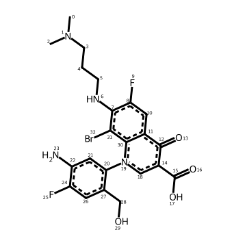 CN(C)CCCNc1c(F)cc2c(=O)c(C(=O)O)cn(-c3cc(N)c(F)cc3CO)c2c1Br